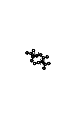 c1ccc(-c2ccc(-c3nc(-c4cc(-c5ccccc5)cc(-c5ccccc5)c4)nc(-c4cc(-c5ccccc5)cc(-c5cccc(-c6ccc(-c7cc(-c8ccccc8)cc8c7[nH]c7c(-c9ccccc9)cc(-c9ccccc9)cc78)cc6)c5)c4)n3)cc2)cc1